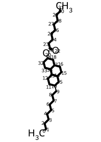 CCCCCCCCCC[C@H]1CCC2C(CCC3C[C@@H](OC(=O)CCCCCCCCC)CCC32)C1